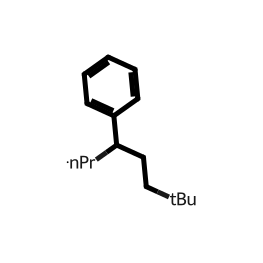 CC[CH]C(CCC(C)(C)C)c1ccccc1